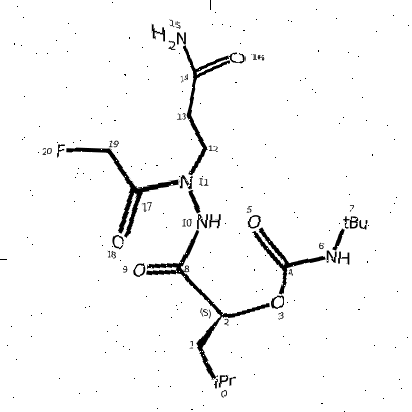 CC(C)C[C@H](OC(=O)NC(C)(C)C)C(=O)NN(CCC(N)=O)C(=O)CF